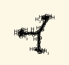 CC(=O)NC1C(O)CC(CO)OC1OCCOCCOCCNC(=O)CCOCC(C)(COCCC(=O)NCCOCCOCCOC1OC(CO)C(O)C(O)C1NC(C)=O)COCCC(=O)NCCOCCOCCOC1OC(CO)C(O)C(O)C1NC(C)=O